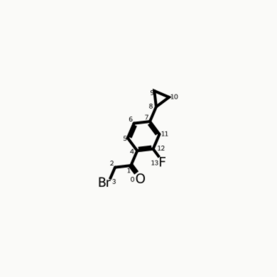 O=C(CBr)c1ccc(C2CC2)cc1F